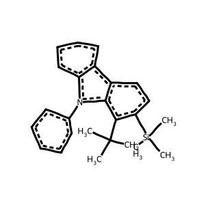 CC(C)(C)c1c([Si](C)(C)C)ccc2c3ccccc3n(-c3ccccc3)c12